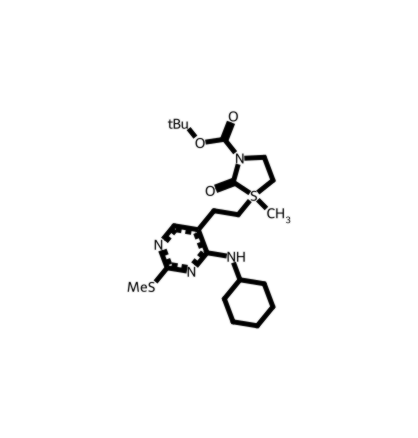 CSc1ncc(CCS2(C)CCN(C(=O)OC(C)(C)C)C2=O)c(NC2CCCCC2)n1